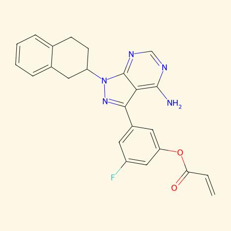 C=CC(=O)Oc1cc(F)cc(-c2nn(C3CCc4ccccc4C3)c3ncnc(N)c23)c1